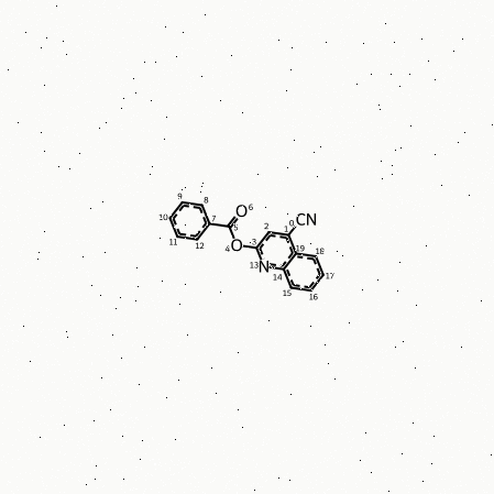 N#Cc1cc(OC(=O)c2ccccc2)nc2ccccc12